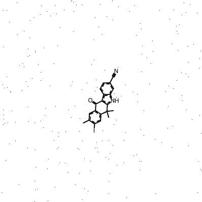 Cc1cc2c(cc1I)C(C)(C)c1[nH]c3cc(C#N)ccc3c1C2=O